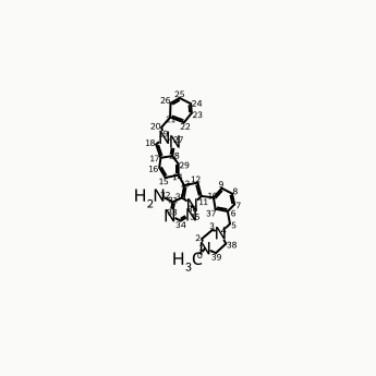 CN1CCN(Cc2cccc(-c3cc(-c4ccc5cn(Cc6ccccc6)nc5c4)c4c(N)ncnn34)c2)CC1